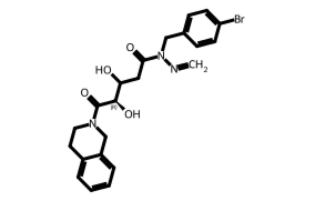 C=NN(Cc1ccc(Br)cc1)C(=O)CC(O)[C@@H](O)C(=O)N1CCc2ccccc2C1